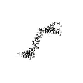 CCCCN(CC(=O)OCC(=O)c1ccc(-c2cc3ccc(C(=O)COC(=O)[C@@H]4CCCN4C(=O)OC(C)(C)C)cc3s2)cc1)C(=O)OC(C)(C)C